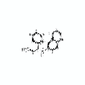 C=C[C@@H](Nc1ccc2ccccc2c1)c1ccccc1